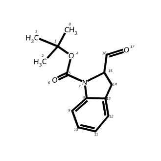 CC(C)(C)OC(=O)N1c2ccccc2CC1C=O